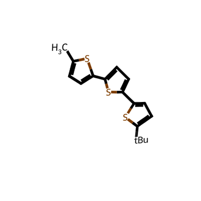 Cc1ccc(-c2ccc(-c3ccc(C(C)(C)C)s3)s2)s1